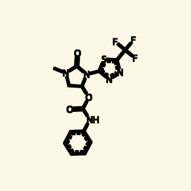 CN1CC(OC(=O)Nc2ccccc2)N(c2nnc(C(F)(F)F)s2)C1=O